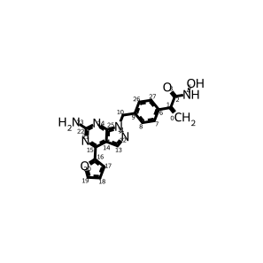 C=C(C(=O)NO)c1ccc(Cn2ncc3c(-c4ccco4)nc(N)nc32)cc1